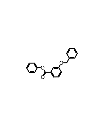 O=C(Oc1ccccc1)c1cccc(OCc2ccccc2)c1